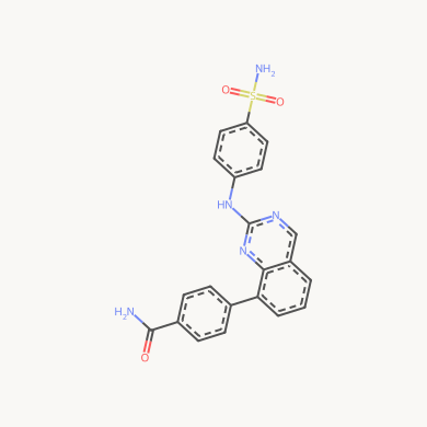 NC(=O)c1ccc(-c2cccc3cnc(Nc4ccc(S(N)(=O)=O)cc4)nc23)cc1